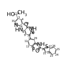 CC(O)c1ccc(Nc2cc(-c3ccc(F)c(NC(=O)c4cc5ccccc5s4)c3)n[nH]c2=O)nc1